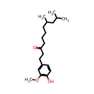 COc1cc(CCC(=O)CCCCC(C)CC(C)C)ccc1O